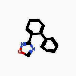 c1ccc(-c2ccccc2-c2ncon2)cc1